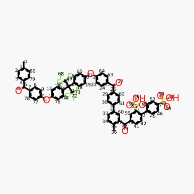 Cc1ccc(C(=O)c2ccc(Oc3ccc(C(c4ccc(Oc5ccc(C(=O)c6ccc(-c7ccc(C)c(C(=O)c8ccc(-c9ccc(S(=O)(=O)O)cc9)c(S(=O)(=O)O)c8)c7)cc6)cc5)cc4)(C(F)(F)F)C(F)(F)F)cc3)cc2)cc1